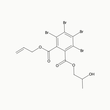 C=CCOC(=O)c1c(Br)c(Br)c(Br)c(Br)c1C(=O)OCC(C)O